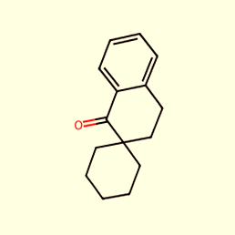 O=C1c2ccccc2CCC12CCCCC2